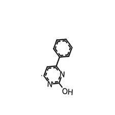 Oc1n[c]cc(-c2ccccc2)n1